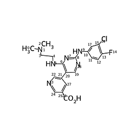 CN(C)CCNc1nc(Nc2ccc(F)c(Cl)c2)ncc1-c1cncc(C(=O)O)c1